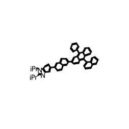 CC(C)c1nc2cc(-c3ccc4cc(-c5ccc6c(-c7cccc8ccccc78)c7ccccc7c(-c7ccccc7)c6c5)ccc4c3)ccc2n1C(C)C